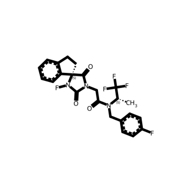 C[C@H](N(Cc1ccc(F)cc1)C(=O)CN1C(=O)N(F)[C@]2(CCc3ccccc32)C1=O)C(F)(F)F